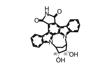 O=C1NC(=O)c2c1c1c3ccccc3n3c1c1c2c2ccccc2n1C1CC3[C@@H](O)[C@H]1O